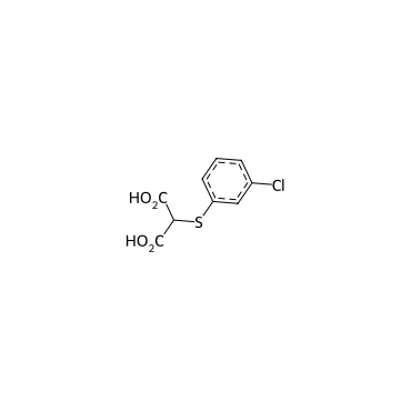 O=C(O)C(Sc1cccc(Cl)c1)C(=O)O